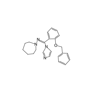 c1ccc(COc2ccccc2C(=NN2CCCCCC2)n2ccnc2)cc1